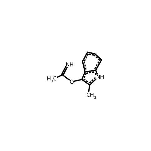 CC(=N)Oc1c(C)[nH]c2ccccc12